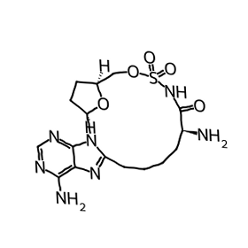 Nc1ncnc2c1nc1n2[C@H]2CC[C@@H](COS(=O)(=O)NC(=O)[C@@H](N)CCCC1)O2